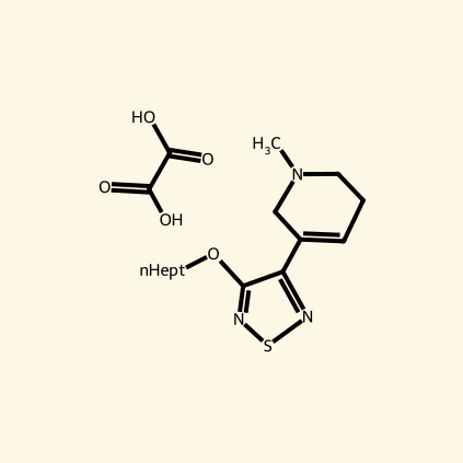 CCCCCCCOc1nsnc1C1=CCCN(C)C1.O=C(O)C(=O)O